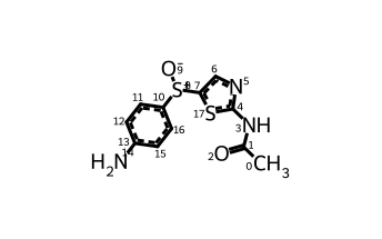 CC(=O)Nc1ncc([S+]([O-])c2ccc(N)cc2)s1